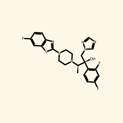 C[C@@H](N1CCN(c2nc3ccc(F)cc3s2)CC1)[C@](O)(Cn1cncn1)c1ccc(F)cc1F